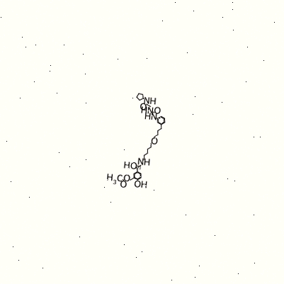 CC(=O)OCc1cc([C@@H](O)CNCCCCCCOCCCCc2cccc(NC(=O)NCC(=O)NC3CCCC3)c2)ccc1O